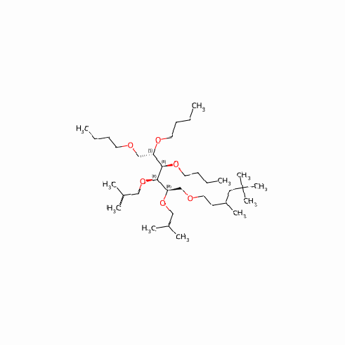 CCCCOC[C@H](OCCCC)[C@@H](OCCCC)[C@H](OCC(C)C)[C@@H](COCCC(C)CC(C)(C)C)OCC(C)C